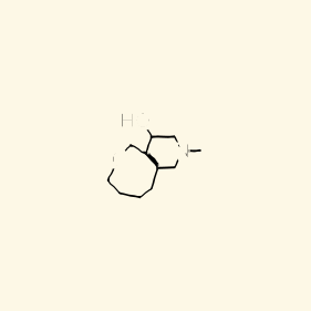 CN1CC2=C(CCCCCC2)C(O)C1